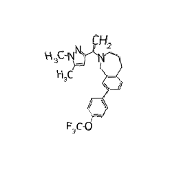 C=C(c1cc(C)n(C)n1)N1CCCc2ccc(-c3ccc(OC(F)(F)F)cc3)cc2C1